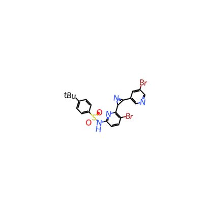 CC(C)(C)c1ccc(S(=O)(=O)Nc2ccc(Br)c(C3N=C3c3cncc(Br)c3)n2)cc1